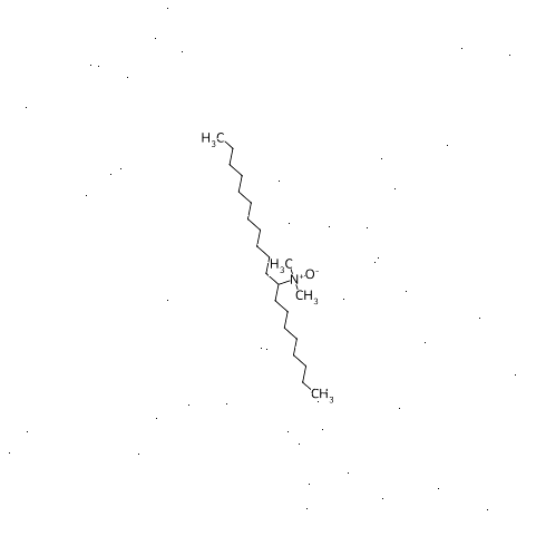 CCCCCCCCCCCC(CCCCCCCC)[N+](C)(C)[O-]